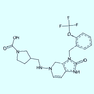 O=C(O)N1CCC(CNN2C=Cc3[nH]c(=O)n(Cc4ccccc4OC(F)(F)F)c3C2)C1